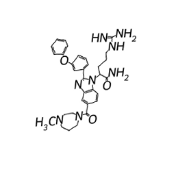 CN1CCCN(C(=O)c2ccc3c(c2)nc(-c2cccc(Oc4ccccc4)c2)n3C(CCCNC(=N)N)C(N)=O)CC1